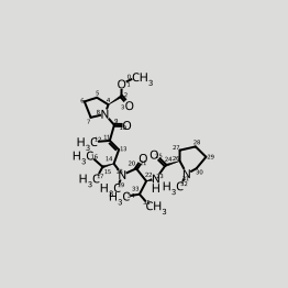 COC(=O)[C@@H]1CCCN1C(=O)/C(C)=C/[C@H](C(C)C)N(C)C(=O)[C@@H](NC(=O)[C@H]1CCCCN1C)C(C)C